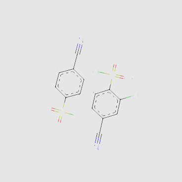 N#Cc1ccc(S(=O)(=O)Cl)c(Cl)c1.N#Cc1ccc(S(=O)(=O)Cl)cc1